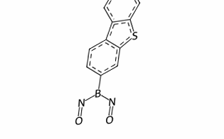 O=NB(N=O)c1ccc2c(c1)sc1ccccc12